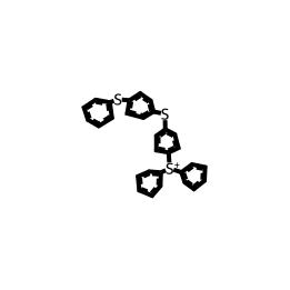 c1ccc(Sc2ccc(Sc3ccc([S+](c4ccccc4)c4ccccc4)cc3)cc2)cc1